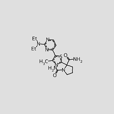 CCN(CC)c1nccc(-c2sc(C3(C(N)=O)CCCN3C(N)=O)nc2C)n1